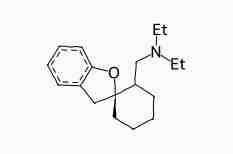 CCN(CC)CC1CCCC[C@]12Cc1ccccc1O2